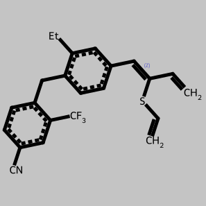 C=CS/C(C=C)=C\c1ccc(Cc2ccc(C#N)cc2C(F)(F)F)c(CC)c1